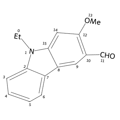 CCn1c2ccccc2c2cc(C=O)c(OC)cc21